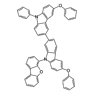 c1ccc(Oc2ccc3c(c2)c2cc(-c4ccc5c6cc(Oc7ccccc7)ccc6n(-c6cccc7c6oc6ccccc67)c5c4)ccc2n3-c2ccccc2)cc1